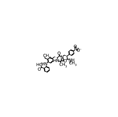 CCc1cc(C[C@@H](NC(C)=O)C(=O)NC[C@H](C(=O)NC)c2ccc([N+](=O)[O-])cc2)ccc1Nc1ccccc1C(=O)O